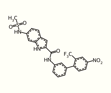 CS(=O)(=O)Nc1ccc2cc(C(=O)Nc3cccc(-c4ccc([N+](=O)[O-])cc4C(F)(F)F)c3)[nH]c2c1